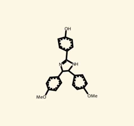 COc1ccc(C2N=C(c3ccc(O)cc3)NC2c2ccc(OC)cc2)cc1